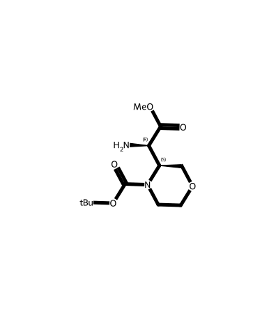 COC(=O)[C@H](N)[C@H]1COCCN1C(=O)OC(C)(C)C